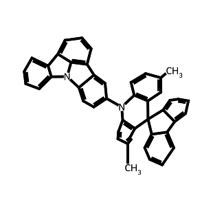 Cc1ccc2c(c1)C1(c3ccccc3-c3ccccc31)c1cc(C)ccc1N2c1ccc2c(c1)c1cccc3c4ccccc4n2c31